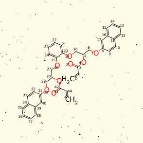 C=CC(=O)OC(COc1ccc2ccccc2c1)COc1ccccc1OCC(COc1ccc2ccccc2c1)OC(=O)C=C